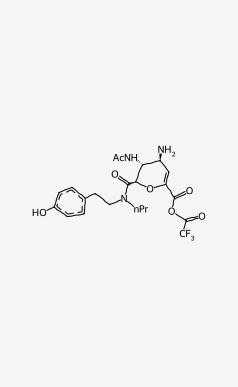 CCCN(CCc1ccc(O)cc1)C(=O)[C@@H]1OC(C(=O)OC(=O)C(F)(F)F)=C[C@H](N)[C@H]1NC(C)=O